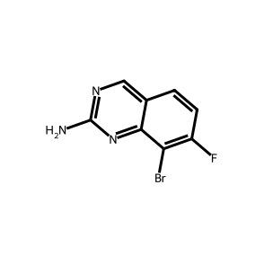 Nc1ncc2ccc(F)c(Br)c2n1